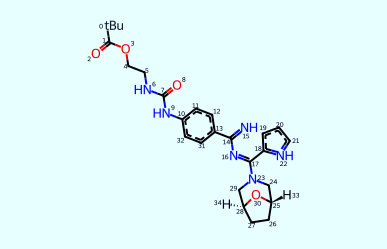 CC(C)(C)C(=O)OCCNC(=O)Nc1ccc(C(=N)/N=C(\c2ccc[nH]2)N2C[C@@H]3CC[C@@H](C2)O3)cc1